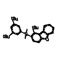 CC(C)(C)c1cc(C(C)(C)C)cc([Si](C)(C)c2ccc3oc4ccccc4c3c2C(C)(C)C)c1